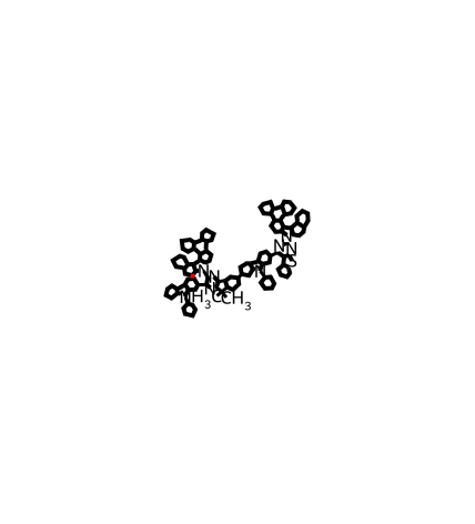 CC1(C)c2ccc(-c3ccc4c5ccc(-c6nc(-n7c8ccc9ccccc9c8c8c9c%10ccccc%10c%10ccccc%10c9ccc87)nc7sc8ccccc8c67)cc5n(-c5ccccc5)c4c3)cc2-c2nc(-n3c4ccc5ccccc5c4c4c5c6ccccc6c6ccccc6c5ccc43)c(-c3ccc4c5ccccc5n(-c5ccccc5)c4c3)nc21